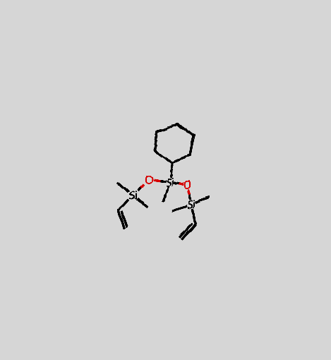 C=C[Si](C)(C)O[Si](C)(O[Si](C)(C)C=C)C1CCCCC1